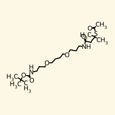 CC(=O)SC(C)(C)CC(=O)NCCCOCCCCOCCCNC(=O)OC(C)(C)C